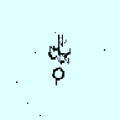 [CH2][C@H]1CC[C@H](c2nc(I)c3c(N)nccn32)CC1